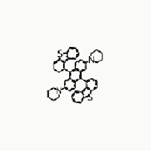 C1=c2sc3ccccc3c2=C(c2c3cc(N4CCCCC4)ccc3c(-c3cccc4sc5ccccc5c34)c3cc(N4CCCCC4)ccc23)CC1